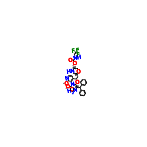 COC(=O)N(C(=O)[C@@H](N)C(c1ccccc1)c1ccccc1)c1c(CC[C@@H]2CN[C@H](COC(=O)NCC(F)(F)F)CO2)ccnc1OC